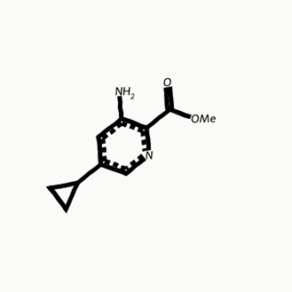 COC(=O)c1ncc(C2CC2)cc1N